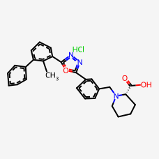 Cc1c(-c2ccccc2)cccc1-c1nnc(-c2cccc(CN3CCCC[C@H]3C(=O)O)c2)o1.Cl